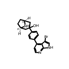 OC1(c2ccc(-c3ccnc4[nH]cc(Br)c34)cc2)C[C@H]2CC[C@@H](C1)N2